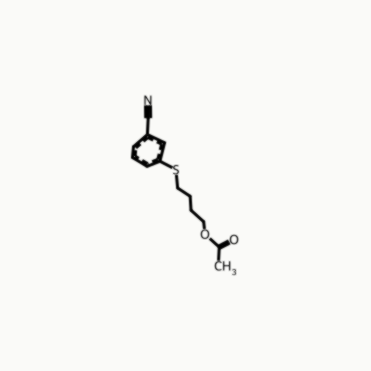 CC(=O)OCCCCSc1cccc(C#N)c1